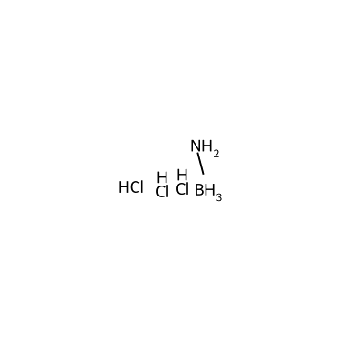 B.CN.Cl.Cl.Cl